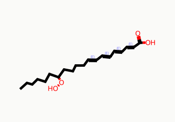 CCCCCCC(CCCC/C=C/C=C/C=C/C=C/C(=O)O)OO